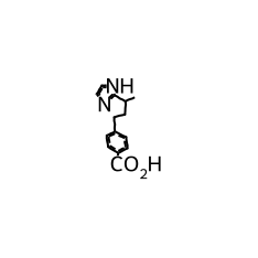 CC(CCc1ccc(C(=O)O)cc1)c1ncc[nH]1